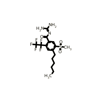 CCCCCCc1cc(C(F)(F)C(F)(F)F)c(C(=O)N=C(N)N)cc1S(C)(=O)=O